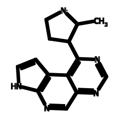 CC1[N]CCC1c1ncnc2cnc3[nH]ccc3c12